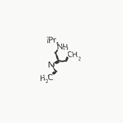 C=C/N=C(\C=C)CNC(C)C